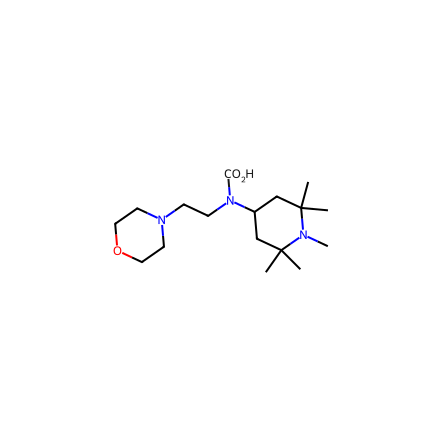 CN1C(C)(C)CC(N(CCN2CCOCC2)C(=O)O)CC1(C)C